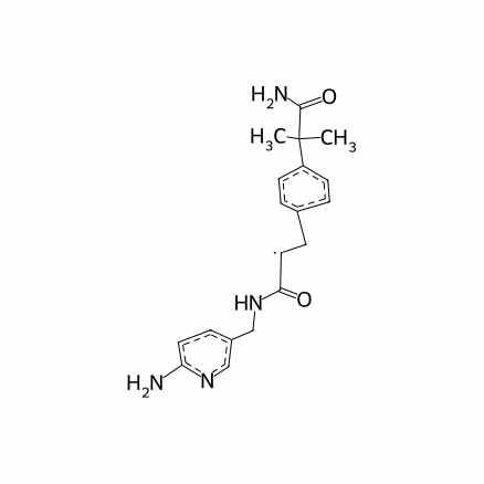 CC(C)(C(N)=O)c1ccc(C[CH]C(=O)NCc2ccc(N)nc2)cc1